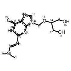 CN(C)C=Nc1nc2c(ncn2COC(CO)CO)c(=O)[nH]1